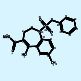 COC(=O)C1=C(O)c2cc(C)ccc2N(S(=O)(=O)Cc2ccccc2)CC1